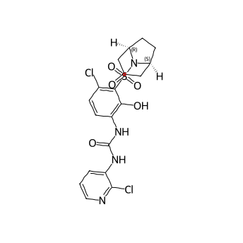 O=C1C[C@H]2CC[C@@H](C1)N2S(=O)(=O)c1c(Cl)ccc(NC(=O)Nc2cccnc2Cl)c1O